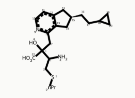 CCCSCC(N)C(O)(Cc1nccc2c1C[C@H](CCC1CC1)C2)C(=O)O